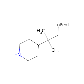 CCCCCCC(C)(C)C1CCNCC1